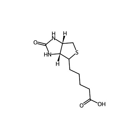 O=C(O)CCCCC1SC[C@H]2NC(=O)N[C@@H]12